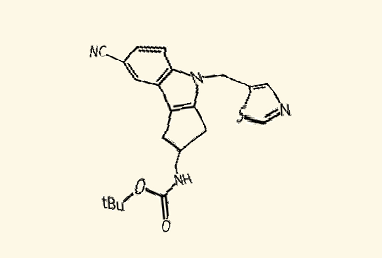 CC(C)(C)OC(=O)NC1Cc2c(n(Cc3cncs3)c3ccc(C#N)cc23)C1